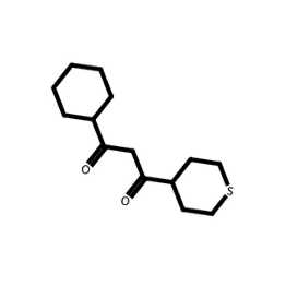 O=C(CC(=O)C1CCSCC1)C1CCCCC1